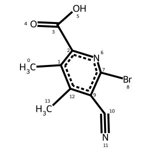 Cc1c(C(=O)O)nc(Br)c(C#N)c1C